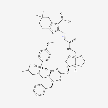 COc1ccc(S(=O)(=O)N(CC(C)C)C[C@@H](O)[C@H](Cc2ccccc2)NC(=O)O[C@H]2CO[C@@]3(CNC(=O)/C=C/c4sc5c(c4C(=O)O)CC(C)(C)CC5)OCC[C@@H]23)cc1